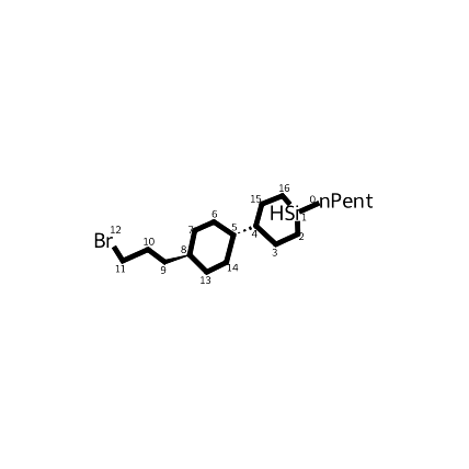 CCCCC[SiH]1CCC([C@H]2CC[C@H](CCCBr)CC2)CC1